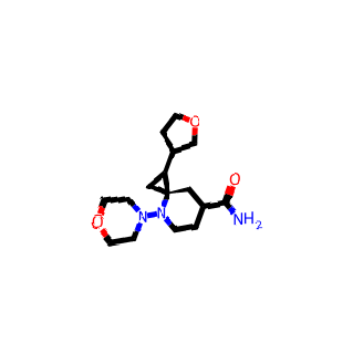 NC(=O)C1CCN(N2CCOCC2)[C@]2(C1)CC2C1CCOC1